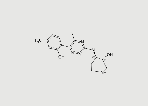 Cc1nc(N[C@@H]2CCNC[C@H]2O)nnc1-c1ccc(C(F)(F)F)cc1O